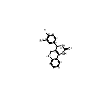 O=C1NC2=C(COc3ccccc32)C(c2ccc(F)c(Br)c2)N1